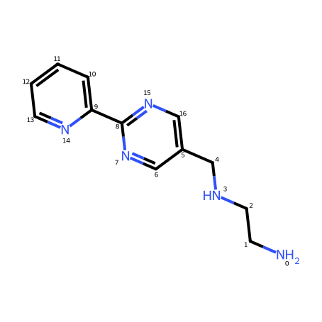 NCCNCc1cnc(-c2ccccn2)nc1